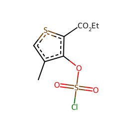 CCOC(=O)c1scc(C)c1OS(=O)(=O)Cl